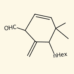 C=C1C(C=O)C=CC(C)(C)C1CCCCCC